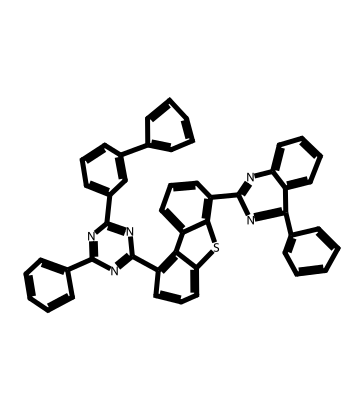 c1ccc(-c2cccc(-c3nc(-c4ccccc4)nc(-c4cccc5sc6c(-c7nc(-c8ccccc8)c8ccccc8n7)cccc6c45)n3)c2)cc1